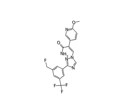 COc1ccc(/C(=C/n2cnc(-c3cc(CF)cc(C(F)(F)F)c3)n2)C(N)=O)cn1